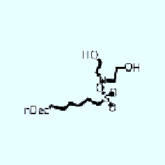 CCCCCCCCCCCCCCCCS(=O)(=O)ON(CCO)CCO